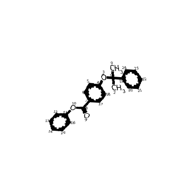 CC(C)(Oc1ccc(C(=O)Oc2ccccc2)cc1)c1ccccc1